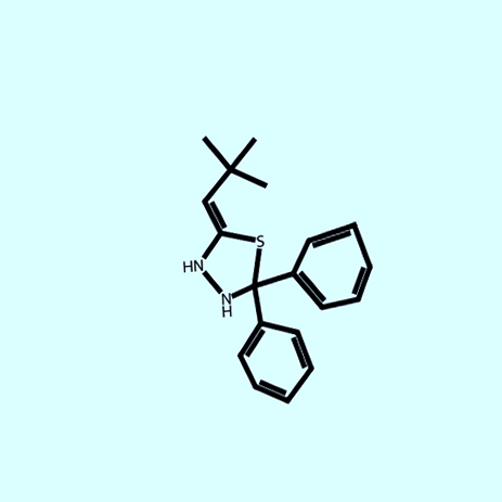 CC(C)(C)C=C1NNC(c2ccccc2)(c2ccccc2)S1